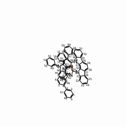 c1ccc(-c2cccc(-c3nc(-c4ccccc4)nc(-n4c5ccccc5c5ccc6c7ccccc7n(-c7cc8c9ccccc9n(-c9ccccc9)c8cc7-c7ccccc7)c6c54)n3)c2)cc1